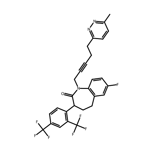 Cc1ccc(CCC#CCN2C(=O)C(c3ccc(C(F)(F)F)cc3C(F)(F)F)CCc3cc(F)ccc32)nn1